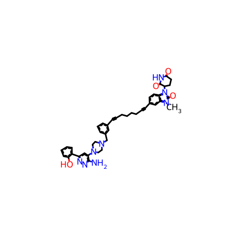 Cn1c(=O)n(C2CCC(=O)NC2=O)c2ccc(C#CCCCCC#Cc3cccc(CN4CCN(c5cc(-c6ccccc6O)nnc5N)CC4)c3)cc21